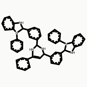 C1=C(c2ccccc2)NC(c2cccc(C3Nc4ccccc4N3c3ccccc3)c2)NC1c1cccc(C2Nc3ccccc3N2c2ccccc2)c1